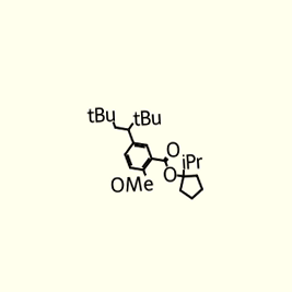 COc1ccc(C(CC(C)(C)C)C(C)(C)C)cc1C(=O)OC1(C(C)C)CCCC1